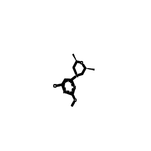 COc1nc(Cl)cc(N2C[C@@H](C)O[C@@H](C)C2)n1